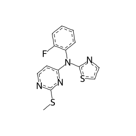 CSc1nccc(N(c2nccs2)c2ccccc2F)n1